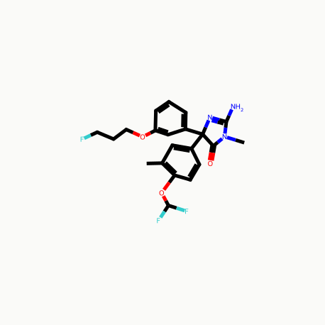 Cc1cc(C2(c3cccc(OCCCF)c3)N=C(N)N(C)C2=O)ccc1OC(F)F